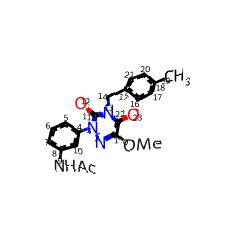 COc1nn(-c2cccc(NC(C)=O)c2)c(=O)n(Cc2ccc(C)cc2)c1=O